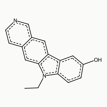 CCn1c2ccc(O)cc2c2cc3cnccc3cc21